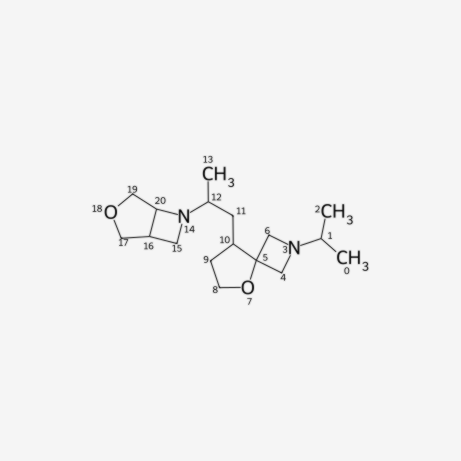 CC(C)N1CC2(C1)OCCC2CC(C)N1CC2COCC21